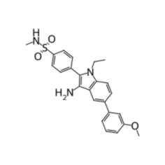 CCn1c(-c2ccc(S(=O)(=O)NC)cc2)c(N)c2cc(-c3cccc(OC)c3)ccc21